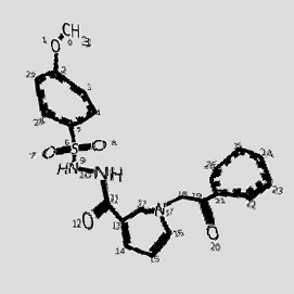 COc1ccc(S(=O)(=O)NNC(=O)C2=CC=CN(CC(=O)c3ccccc3)C2)cc1